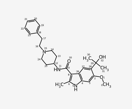 COc1cc2[nH]c(C)c(C(=O)NC3CCN(CCc4ccccc4)CC3)c2cc1C(C)(C)O